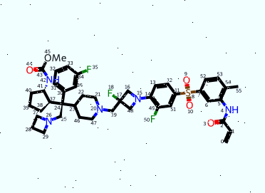 C=CC(=O)Nc1cc(S(=O)(=O)c2ccc(N3CC(F)(CN4CCC([C@@](CN5CCC5)(c5cccc(F)c5)[C@H]5CCC[C@@H]5NC(=O)OC)CC4)C3)c(F)c2)ccc1C